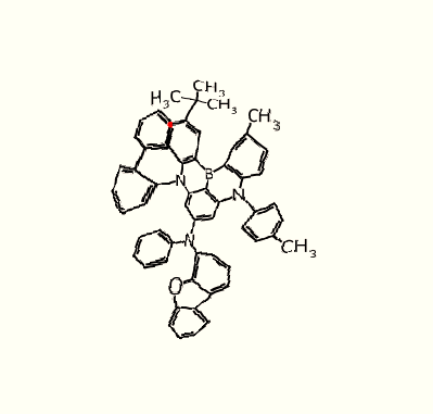 Cc1ccc(N2c3ccc(C)cc3B3c4cc(C(C)(C)C)ccc4N(c4ccccc4-c4ccccc4)c4cc(N(c5ccccc5)c5cccc6c5oc5ccccc56)cc2c43)cc1